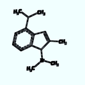 CC1=Cc2c(C(C)C)cccc2[CH]1[Zr]([CH3])[CH3]